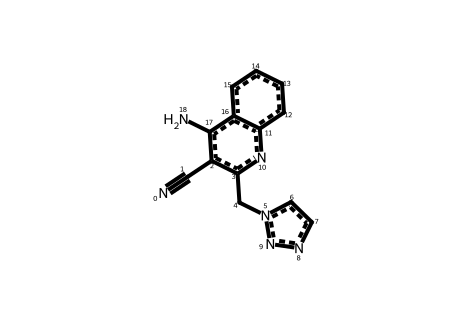 N#Cc1c(Cn2ccnn2)nc2ccccc2c1N